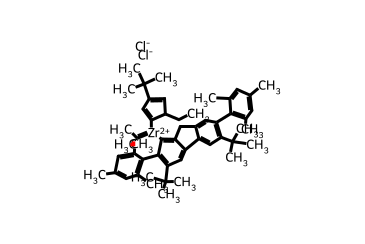 CCC1C=C(C(C)(C)C)C=[C]1[Zr+2](=[C](C)C)[c]1c2c(cc(C(C)(C)C)c1-c1c(C)cc(C)cc1C)-c1cc(C(C)(C)C)c(-c3c(C)cc(C)cc3C)cc1C2.[Cl-].[Cl-]